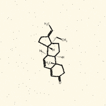 CC=C1CC[C@H]2[C@@H]3C=CC4=CC(=O)CC[C@@]4(C)[C@@H]3CC[C@]12CC